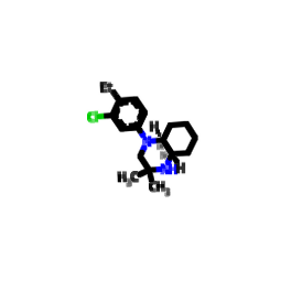 CCc1ccc(N2CC(C)(C)N[C@H]3CCCC[C@@H]32)cc1Cl